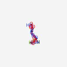 N#Cc1c(NS(=O)(=O)N2CC[C@@H](F)C2)ccc(F)c1Oc1ccc2ncn(-c3ccc(N4CCC(CN5CC6(C5)CN(c5ccc7c(c5)C(=O)N(C5CCC(=O)NC5=O)C7=O)C6)CC4)nc3)c(=O)c2c1